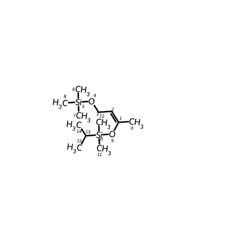 CC(=CCO[Si](C)(C)C)O[Si](C)(C)C(C)C